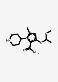 COC(C)Oc1cc(C)n(C2CCNCC2)c1C(N)=O